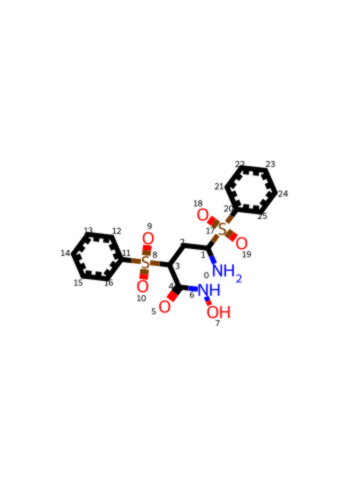 NC(CC(C(=O)NO)S(=O)(=O)c1ccccc1)S(=O)(=O)c1ccccc1